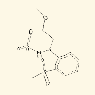 COCCN(N[SH](=O)=O)c1ccccc1S(C)(=O)=O